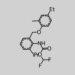 CCc1ccc(OCc2cccc(C(C)C)c2NC(=O)OC(F)F)c(C)c1